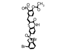 CC(=O)Oc1ccc(/C=C2/Sc3cc(S(=O)(=O)Cc4c(Br)cccc4Br)ccc3NC2=O)cc1[N+](=O)[O-]